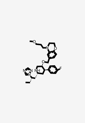 CC[C@@H](C[C@H]1C[C@H](c2ccc(F)cc2)[C@@H](OCc2ccc3c(c2)N(CCCOC)CCO3)CN1)n1cncn1